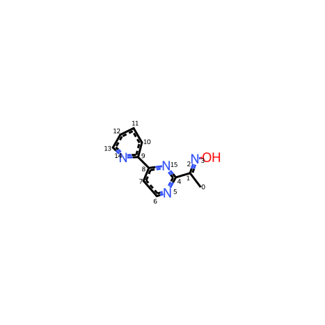 CC(=NO)c1nccc(-c2ccccn2)n1